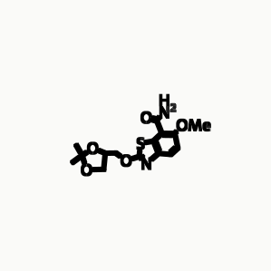 COc1ccc2nc(OCC3COC(C)(C)O3)sc2c1C(N)=O